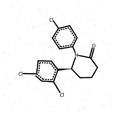 O=C1CCC[C@@H](c2ccc(Cl)cc2Cl)N1c1ccc(Cl)cc1